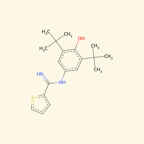 CC(C)(C)c1cc(NC(=N)c2cccs2)cc(C(C)(C)C)c1O